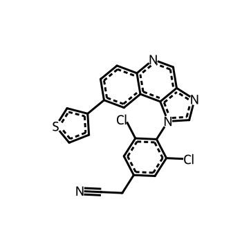 N#CCc1cc(Cl)c(-n2cnc3cnc4ccc(-c5ccsc5)cc4c32)c(Cl)c1